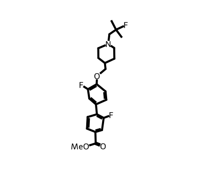 COC(=O)c1ccc(-c2ccc(OCC3CCN(CC(C)(C)F)CC3)c(F)c2)c(F)c1